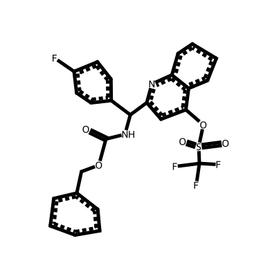 O=C(NC(c1ccc(F)cc1)c1cc(OS(=O)(=O)C(F)(F)F)c2ccccc2n1)OCc1ccccc1